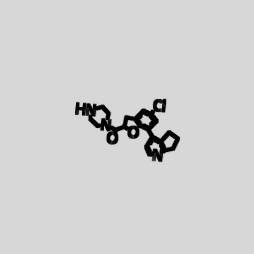 O=C(C1Cc2cc(Cl)cc(-c3ccnc4c3CCC4)c2O1)N1CCNCC1